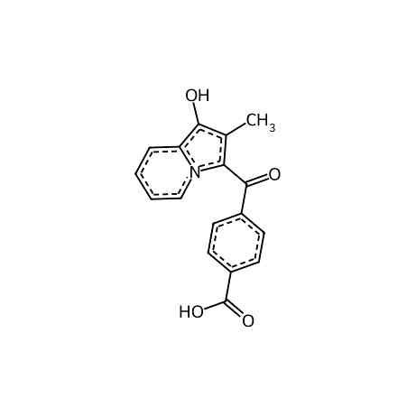 Cc1c(O)c2ccccn2c1C(=O)c1ccc(C(=O)O)cc1